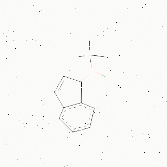 C[Si](C)(C)B(Cl)C1C=Cc2ccccc21